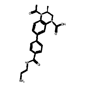 CC(=O)N1c2ccc(-c3ccc(C(=O)NCCN)cc3)cc2N(C(=O)O)C[C@@H]1C